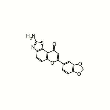 Nc1nc2ccc3oc(-c4ccc5c(c4)OCO5)cc(=O)c3c2s1